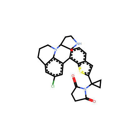 O=C1CCC(=O)N1C1(c2cc3cccc(-c4cc(Cl)cc5c4N(C4CCNC4)CCC5)c3s2)CC1